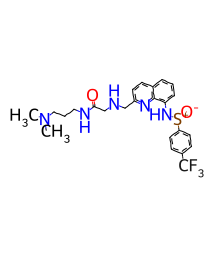 CN(C)CCCNC(=O)CNCc1ccc2cccc(N[S+]([O-])c3ccc(C(F)(F)F)cc3)c2n1